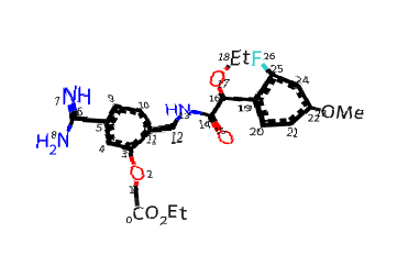 CCOC(=O)COc1cc(C(=N)N)ccc1CNC(=O)C(OCC)c1ccc(OC)cc1F